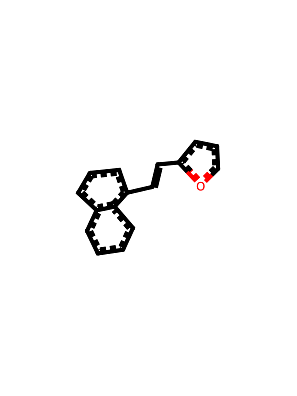 C(=C\c1cccc2ccccc12)/c1ccco1